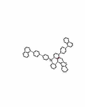 c1ccc(N(c2ccc(-c3ccc(-c4cccc5ccccc45)cc3)cc2)c2ccc(-c3ccc(-c4cccc5ccccc45)cc3)cc2)c(-c2cccc3sc4ccccc4c23)c1